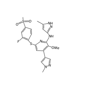 COc1c(-c2cnn(C)c2)cc(Sc2ccc(S(C)(=O)=O)cc2F)nc1Nc1cc(C)[nH]n1